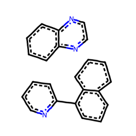 c1ccc(-c2cccc3ccccc23)nc1.c1ccc2nccnc2c1